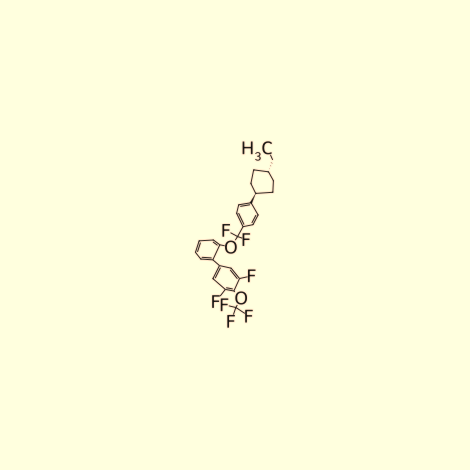 CC[C@H]1CC[C@H](c2ccc(C(F)(F)Oc3ccccc3-c3cc(F)c(OC(F)(F)F)c(F)c3)cc2)CC1